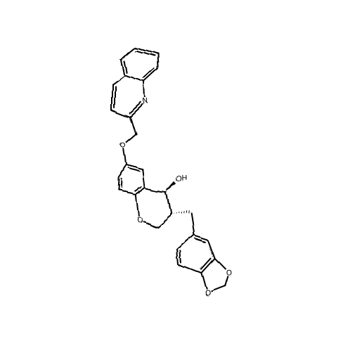 O[C@@H]1c2cc(OCc3ccc4ccccc4n3)ccc2OC[C@H]1Cc1ccc2c(c1)OCO2